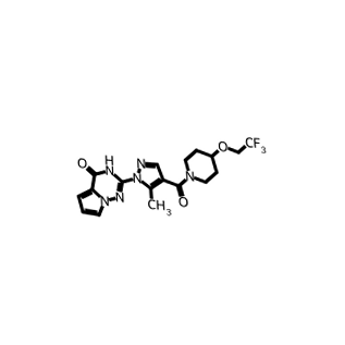 Cc1c(C(=O)N2CCC(OCC(F)(F)F)CC2)cnn1-c1nn2cccc2c(=O)[nH]1